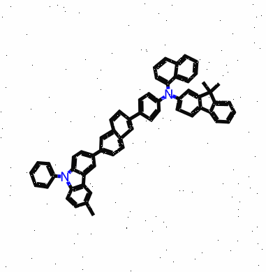 Cc1ccc2c(c1)c1cc(-c3ccc4cc(-c5ccc(N(c6ccc7c(c6)C(C)(C)c6ccccc6-7)c6cccc7ccccc67)cc5)ccc4c3)ccc1n2-c1ccccc1